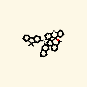 CC1(C)c2ccccc2-c2ccc(N(c3ccc4c(c3)C3(c5ccccc5S4)c4ccccc4-c4cccc5cccc3c45)c3ccc4ccccc4c3)cc21